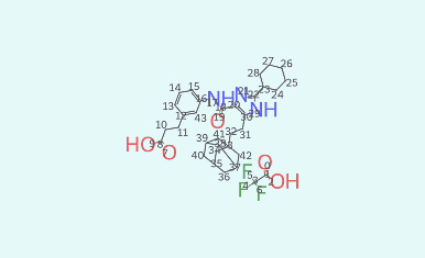 O=C(O)C(F)(F)F.O=C(O)CCc1cccc(NC(=O)c2nc(C3CCCCC3)[nH]c2CCC23CC4CC(CC(C4)C2)C3)c1